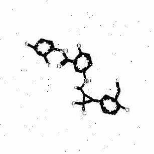 O=C(Nc1ccc(F)cc1F)c1cc(NC(=O)C2C(c3ccc(Cl)c(CF)c3)C2(Cl)Cl)ccc1Cl